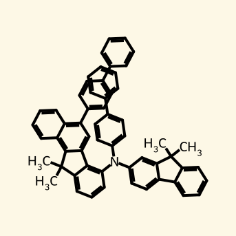 CC1(C)c2ccccc2-c2ccc(N(c3ccc(-c4ccccc4)cc3)c3cccc4c3-c3cc(-c5ccc(-c6ccccc6)cc5)c5ccccc5c3C4(C)C)cc21